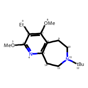 CCc1c(OC)nc2c(c1OC)CCN(C(C)(C)C)CC2